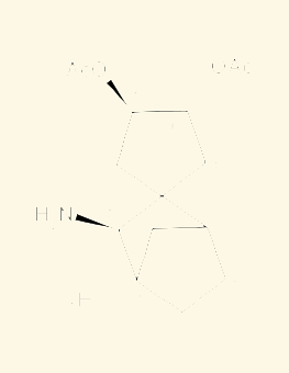 CC(=O)O[C@@H]1CC2(C[C@H]1OC(C)=O)C1CC[C@H](C1)[C@H]2N